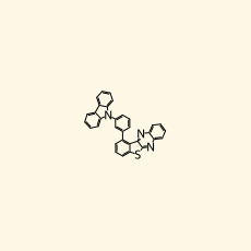 c1cc(-c2cccc3sc4nc5ccccc5nc4c23)cc(-n2c3ccccc3c3ccccc32)c1